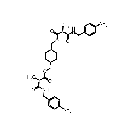 CN(C(=O)NCc1ccc(N)cc1)C(=O)OC[C@H]1CC[C@H](COC(=O)N(C)C(=O)NCc2ccc(N)cc2)CC1